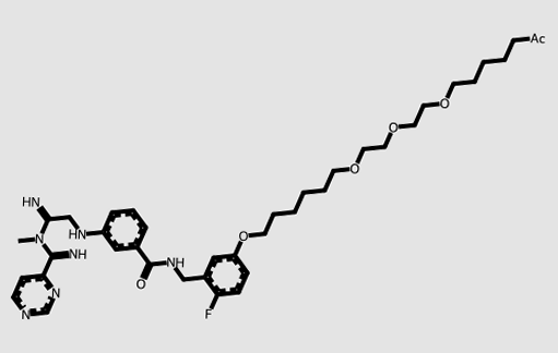 CC(=O)CCCCCOCCOCCOCCCCCCOc1ccc(F)c(CNC(=O)c2cccc(NCC(=N)N(C)C(=N)c3ccncn3)c2)c1